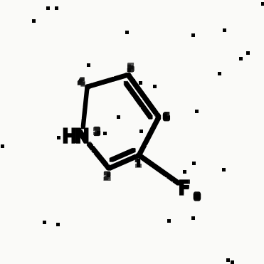 FC1=CNCC=C1